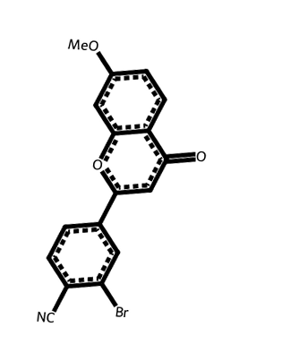 COc1ccc2c(=O)cc(-c3ccc(C#N)c(Br)c3)oc2c1